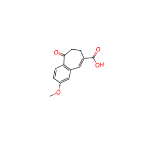 COc1ccc2c(c1)C=C(C(=O)O)CCC2=O